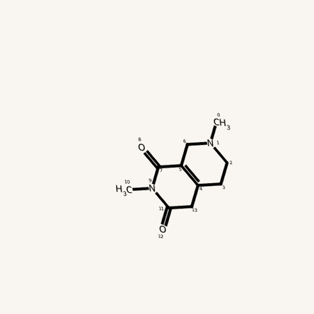 CN1CCC2=C(C1)C(=O)N(C)C(=O)C2